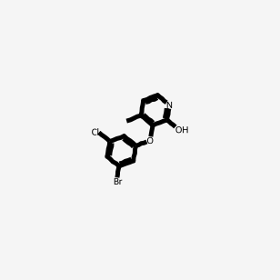 Cc1ccnc(O)c1Oc1cc(Cl)cc(Br)c1